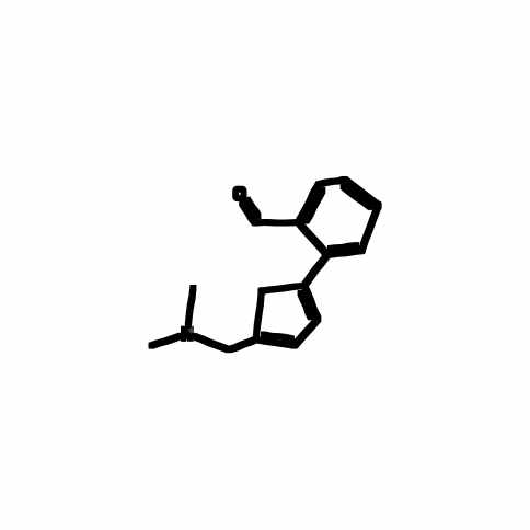 CN(C)CC1=CC=C(c2ccccc2C=O)C1